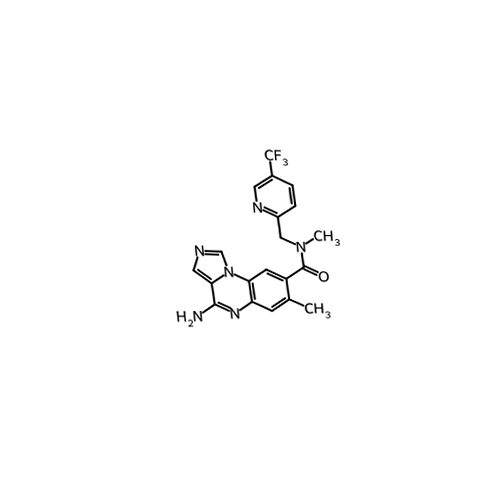 Cc1cc2nc(N)c3cncn3c2cc1C(=O)N(C)Cc1ccc(C(F)(F)F)cn1